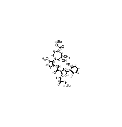 Cn1ncc(NC(=O)c2nc(-c3c(F)cccc3F)sc2NC(=O)OC(C)(C)C)c1N1CCN(C(=O)OC(C)(C)C)CC(C)(O)C1